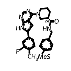 CSc1ccc(CNC(=O)[C@H]2CCCN(c3ncnc4[nH]c(-c5ccc(C)c(F)c5)cc34)C2)cc1